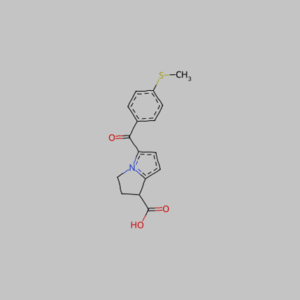 CSc1ccc(C(=O)c2ccc3n2CCC3C(=O)O)cc1